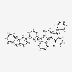 C1=CC(n2c3ccccc3c3c4c5ccccc5n(-c5ccccc5)c4ccc32)NC(c2ccc3sc4ccccc4c3c2)=C1